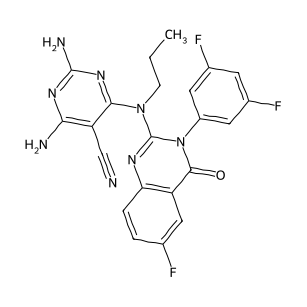 CCCN(c1nc(N)nc(N)c1C#N)c1nc2ccc(F)cc2c(=O)n1-c1cc(F)cc(F)c1